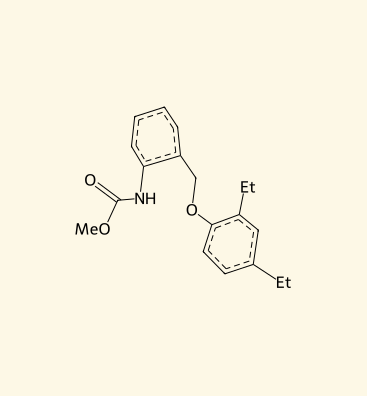 CCc1ccc(OCc2ccccc2NC(=O)OC)c(CC)c1